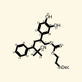 CCCCCCCCCCCCSC(=S)SCC(CC(c1ccccc1)C(C)(C)C#N)c1ccc(O)c(O)c1